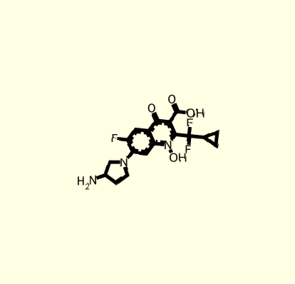 NC1CCN(c2cc3c(cc2F)c(=O)c(C(=O)O)c(C(F)(F)C2CC2)n3O)C1